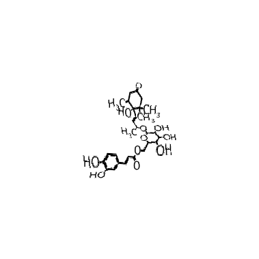 CC1CC(=O)CC(C)(C)[C@@]1(O)/C=C/[C@@H](C)OC1OC(COC(=O)/C=C/c2ccc(O)c(O)c2)C(O)C(O)C1O